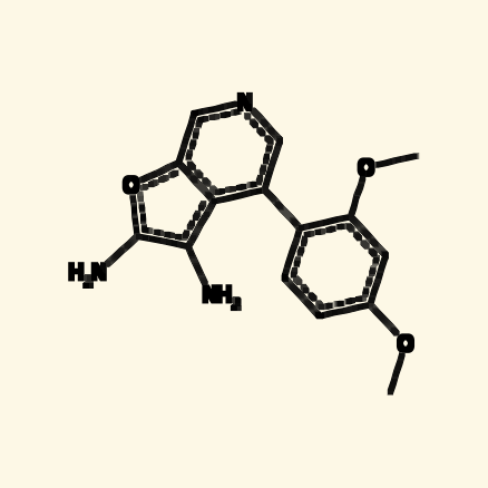 COc1ccc(-c2cncc3oc(N)c(N)c23)c(OC)c1